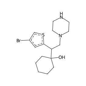 OC1(C(CN2CCNCC2)c2cc(Br)cs2)CCCCC1